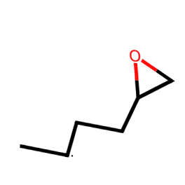 C[CH]CCC1CO1